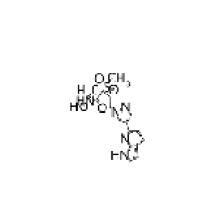 CC(CCn1cc(-c2ccc3cc[nH]c3n2)cn1)(C(=O)NO)S(C)(=O)=O